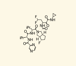 CC(C)[C@H](NC(=O)c1cnccn1)C(=O)N[C@H](C(=O)N1C[C@H]2[C@H](CC[C@@H]2F)[C@H]1C(=O)NC(CC(F)F)C(=O)C(=O)NC1CC1)C(C)C